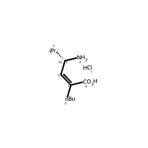 CCCCC(=C[C@@H](N)C(C)C)C(=O)O.Cl